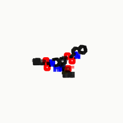 CC(C)(C)OC(=O)N1CCC2(CC1)C[C@H](OC(=O)c1ccc3ccccc3n1)C[C@H]2N[S+]([O-])C(C)(C)C